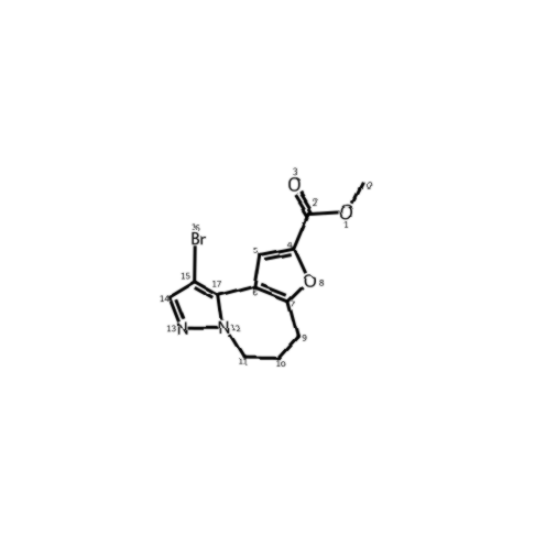 COC(=O)c1cc2c(o1)CCCn1ncc(Br)c1-2